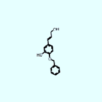 OCC=Cc1ccc(OCc2ccccc2)c(O)c1